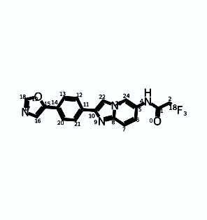 O=C(C[18F])Nc1ccc2nc(-c3ccc(-c4cnco4)cc3)cn2c1